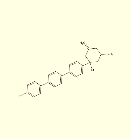 C=C1CC(C)CC(CC)(c2ccc(-c3ccc(-c4ccc(Cl)cc4)cc3)cc2)C1